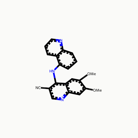 COc1cc2ncc(C#N)c(Nc3cccc4ncccc34)c2cc1OC